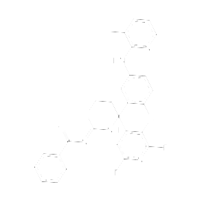 Cc1cccnc1Nc1ccc2c(c1)C1(CCO/C(=N\C(=O)c3ccccc3)N1)c1cc(Cl)nc(F)c1O2